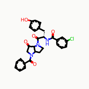 O=C(N[C@@H](Cc1ccc(O)cc1)C(=O)N1CCC2C1C(=O)CN2C(=O)c1ccccc1)c1cccc(Cl)c1